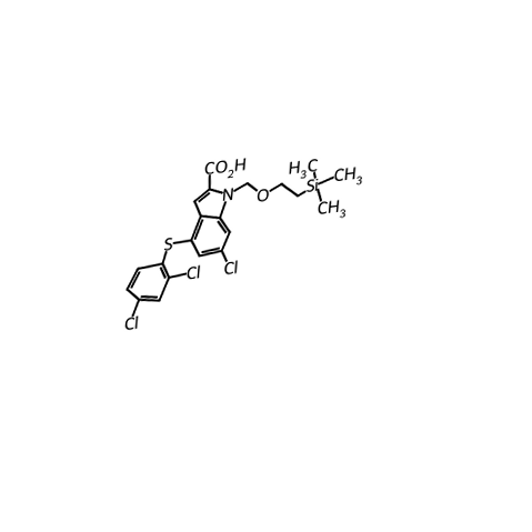 C[Si](C)(C)CCOCn1c(C(=O)O)cc2c(Sc3ccc(Cl)cc3Cl)cc(Cl)cc21